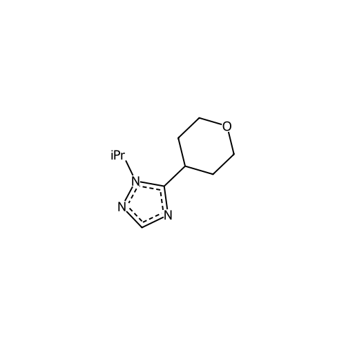 CC(C)n1ncnc1C1CCOCC1